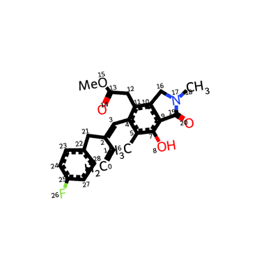 C=C/C(=C\c1c(C)c(O)c2c(c1CC(=O)OC)CN(C)C2=O)Cc1ccc(F)cc1